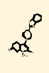 Cn1c(=O)cc(N2CCCC(c3nc4ccccc4o3)CC2)c2ccc(Br)cc21